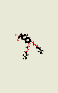 CC(C#N)(Cc1ccc(OCOCC[Si](C)(C)C)c(OCOCC[Si](C)(C)C)c1)C(=O)O